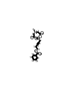 CN1CC(=O)OB(CC#CCCOC(=O)c2ccccc2)OC(=O)C1